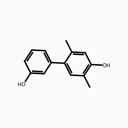 Cc1cc(-c2cc[c]c(O)c2)c(C)cc1O